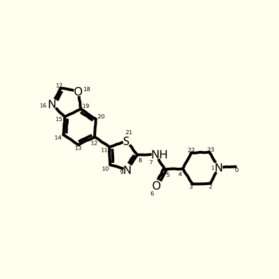 CN1CCC(C(=O)Nc2ncc(-c3ccc4ncoc4c3)s2)CC1